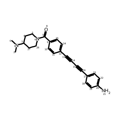 CN(C)C1CCN(C(=O)c2ccc(C#CC#Cc3ccc(N)cc3)cc2)CC1